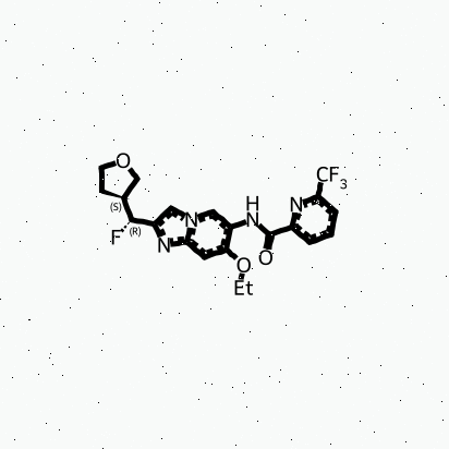 CCOc1cc2nc([C@H](F)[C@H]3CCOC3)cn2cc1NC(=O)c1cccc(C(F)(F)F)n1